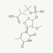 CO[C@H]1C(OP(=O)(S)OC(C)(C)C)[C@@H](CC(C)C(=O)O)O[C@@H]1n1cc(C)c(=O)[nH]c1=O